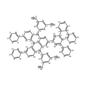 CC(C)(C)c1cc(N2c3ccc(-c4ccccc4)cc3B3c4cc(-c5ccccc5)ccc4N(c4cc(C(C)(C)C)cc(C(C)(C)C)c4)c4cc(-c5nc(-c6ccccc6)nc(-c6ccccc6-c6ccccc6)n5)cc2c43)cc(C(C)(C)C)c1